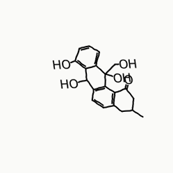 CC1CC(=O)c2c(ccc3c2C(O)(CO)c2cccc(O)c2C3O)C1